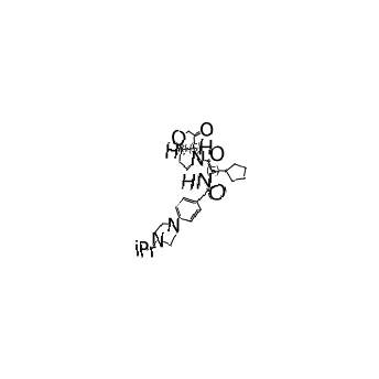 CC(C)N1CCN(c2ccc(C(=O)N[C@H](C(=O)N3CC[C@H]4OCC(=O)[C@H]43)C3CCCC3)cc2)CC1